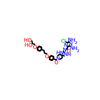 Nc1nc(N)c(C(=O)/N=C2\NCC3(CCN(C(=O)c4ccc(OCCCc5ccc(OCC(O)CO)cc5)cc4)CC3)N2)nc1Cl